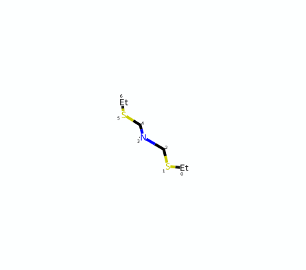 CCSC[N]CSCC